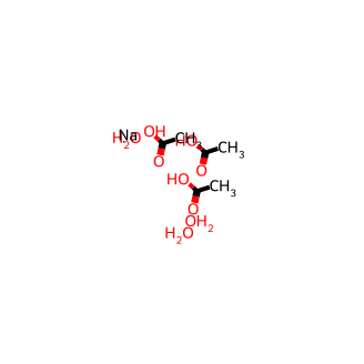 CC(=O)O.CC(=O)O.CC(=O)O.O.O.O.[Na]